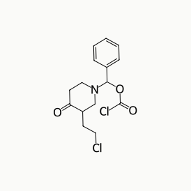 O=C(Cl)OC(c1ccccc1)N1CCC(=O)C(CCCl)C1